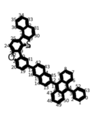 c1ccc(-c2c3ccccc3c(-c3ccc4cc(-c5ccc6oc7ccc8c(sc9ccc%10ccccc%10c98)c7c6c5)ccc4c3)c3ccccc23)cc1